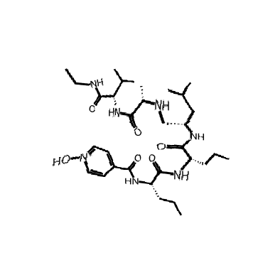 CCC[C@H](NC(=O)c1cc[n+](O)cc1)C(=O)N[C@@H](CCC)C(=O)N[C@H](CN[C@@H](C)C(=O)N[C@H](C(=O)NCC)C(C)C)CC(C)C